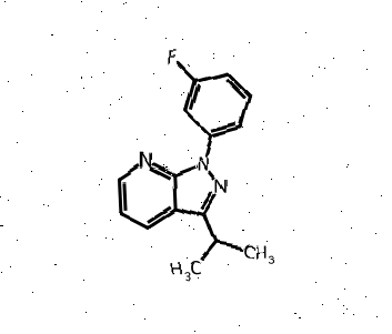 CC(C)c1nn(-c2cccc(F)c2)c2ncccc12